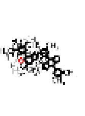 COc1c(C(C)(C)C)cc2c(c1-c1cc(C(C)(C)C)cc(C(C)(C)C)c1)C=C(C)C2[Si](C)(C)C1C(C)=Cc2c(-c3cc(C)cc(C)c3)c3c(c(-c4cc(C)cc(C)c4)c21)CCC3